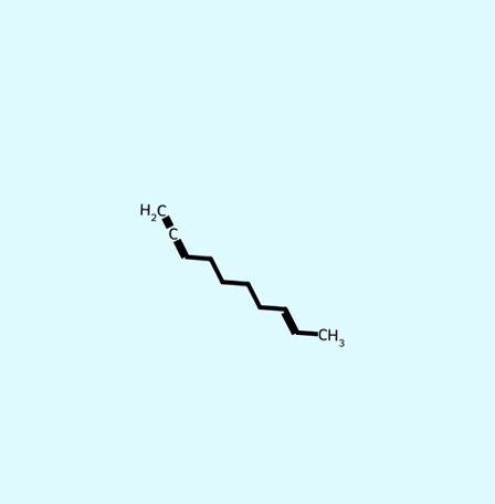 C=C=CCCCCC=CC